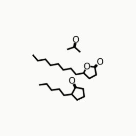 CC(C)=O.CCCCCC1CCCC1=O.CCCCCCCCC1CCC(=O)O1